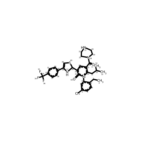 CCc1ccc(Cl)cc1-n1c(CC(C)C)c(C(=O)N2CCNCC2)cc(C2NC(c3ccc(C(F)(F)F)cc3)=CS2)c1=O